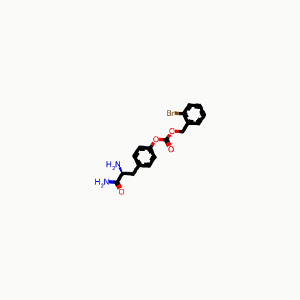 NC(=O)[C@@H](N)Cc1ccc(OC(=O)OCc2ccccc2Br)cc1